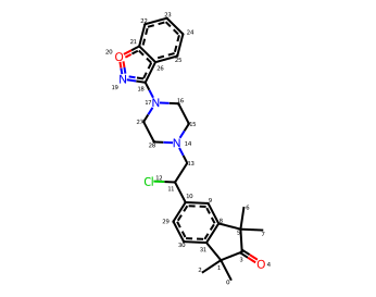 CC1(C)C(=O)C(C)(C)c2cc(C(Cl)CN3CCN(c4noc5ccccc45)CC3)ccc21